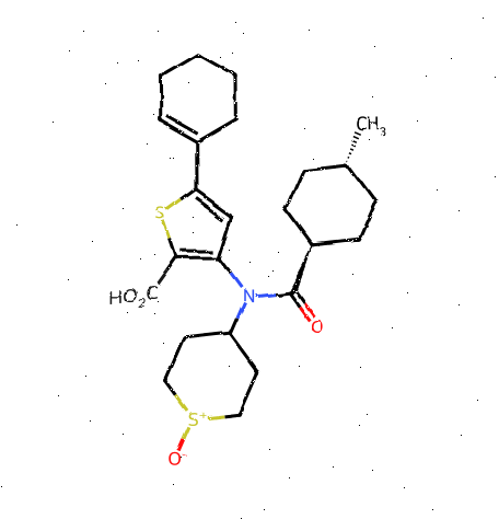 C[C@H]1CC[C@H](C(=O)N(c2cc(C3=CCCCC3)sc2C(=O)O)C2CC[S+]([O-])CC2)CC1